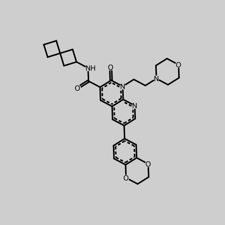 O=C(NC1CC2(CCC2)C1)c1cc2cc(-c3ccc4c(c3)OCCO4)cnc2n(CCN2CCOCC2)c1=O